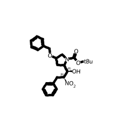 CC(C)(C)OC(=O)N1CC(OCc2ccccc2)CC1[C@@H](O)[C@@H](Cc1ccccc1)[N+](=O)[O-]